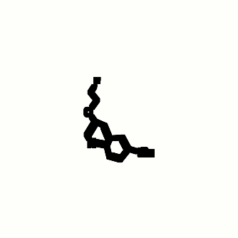 CC(C)(C)c1ccc2ncc(OCCF)cc2c1